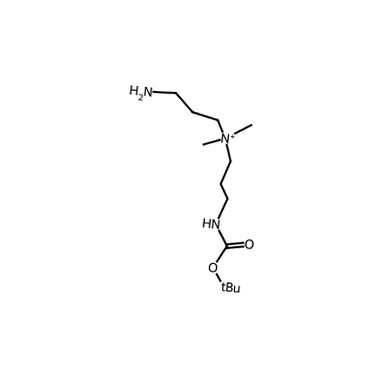 CC(C)(C)OC(=O)NCCC[N+](C)(C)CCCN